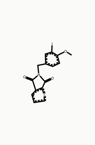 COc1ccc(CN2C(=O)c3ccccc3C2=O)cc1I